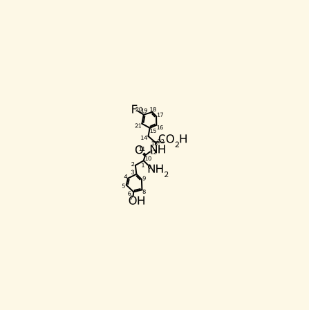 NC(Cc1ccc(O)cc1)C(=O)N[C@@H](Cc1cccc(F)c1)C(=O)O